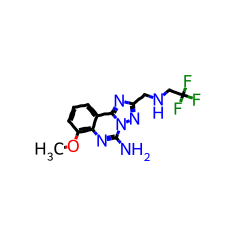 COc1cccc2c1nc(N)n1nc(CNCC(F)(F)F)nc21